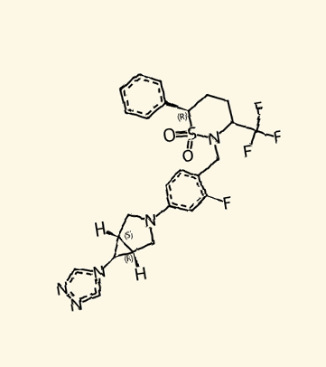 O=S1(=O)[C@@H](c2ccccc2)CCC(C(F)(F)F)N1Cc1ccc(N2C[C@@H]3C(n4cnnc4)[C@@H]3C2)cc1F